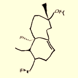 CC(C)C1CC=C2C[C@@](C)(O)CC[C@]2(C)C1C